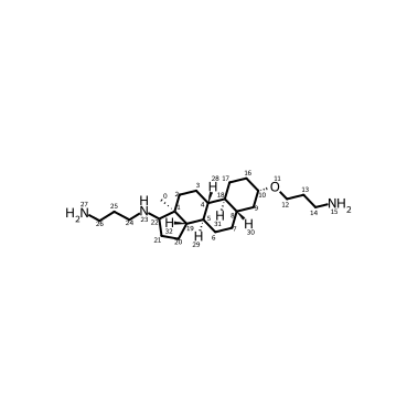 C[C@]12CC[C@H]3[C@@H](CC[C@H]4C[C@@H](OCCCN)CC[C@@H]43)[C@@H]1CCC2NCCCN